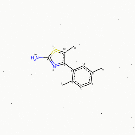 Cc1ccc(C)c(-c2nc(N)sc2C)c1